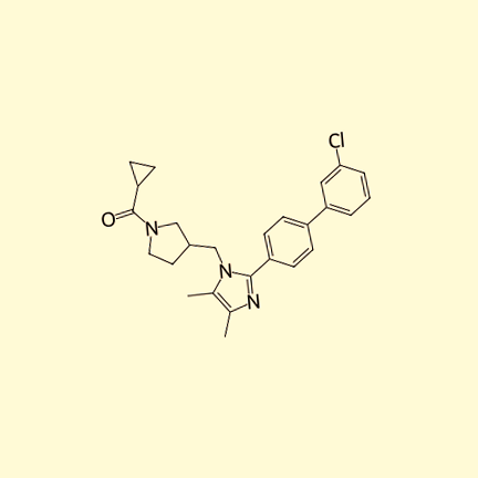 Cc1nc(-c2ccc(-c3cccc(Cl)c3)cc2)n(CC2CCN(C(=O)C3CC3)C2)c1C